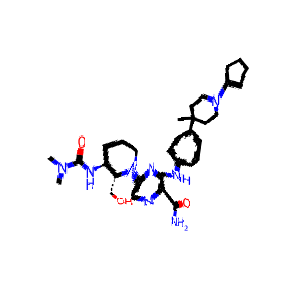 CN(C)C(=O)N[C@H]1CCCN(c2cnc(C(N)=O)c(Nc3ccc(C4(C)CCN(C5CCCC5)CC4)cc3)n2)[C@@H]1CO